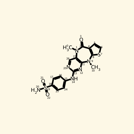 CN1C(=O)c2ccsc2N(C)c2nc(Nc3ccc(S(N)(=O)=O)cc3)ncc21